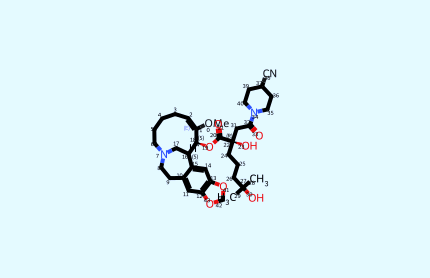 CO/C1=C/CCCCN2CCc3cc4c(cc3[C@@H](C2)[C@@H]1OC(=O)[C@@](O)(CCCC(C)(C)O)CC(=O)N1CCC(C#N)CC1)OCO4